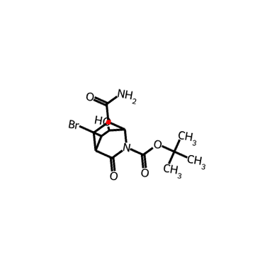 CC(C)(C)OC(=O)N1C(=O)C2CC(C(N)=O)C1C(O)C2Br